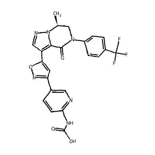 C[C@H]1CN(c2ccc(C(F)(F)F)cc2)C(=O)c2c(-c3cc(-c4ccc(NC(=O)O)nc4)no3)cnn21